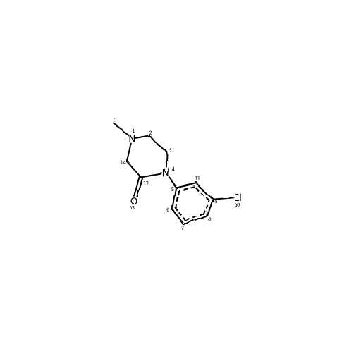 CN1CCN(c2cccc(Cl)c2)C(=O)C1